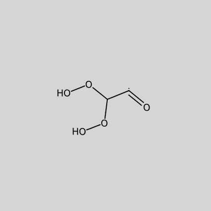 O=[C]C(OO)OO